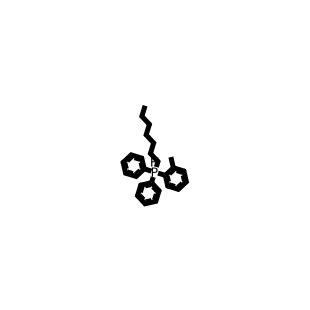 CCCCCCC[PH](c1ccccc1)(c1ccccc1)c1ccccc1C